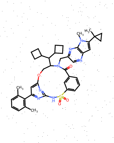 Cc1cccc(C)c1-c1cc2nc(n1)NS(=O)(=O)c1cccc(c1)C(=O)N(Cc1cnc3cc(C4(C)CC4)n(C)c3n1)C(C(C1CCC1)C1CCC1)CO2